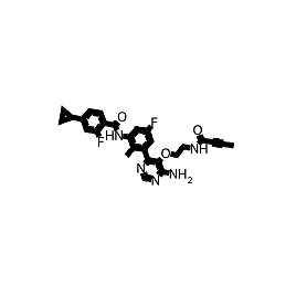 CC#CC(=O)NCCOc1c(N)ncnc1-c1cc(F)cc(NC(=O)c2ccc(C3CC3)cc2F)c1C